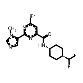 CC(C)c1cc(C(=O)N[C@H]2CC[C@H](C(F)F)CC2)nc(-c2cncn2C)n1